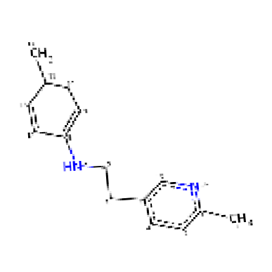 Cc1ccc(CCNC2=CCC(C)C=C2)cn1